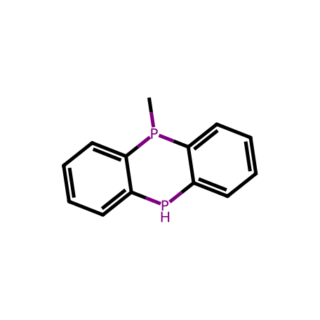 CP1c2ccccc2Pc2ccccc21